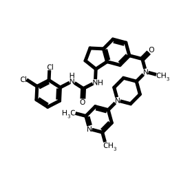 Cc1cc(N2CCC(N(C)C(=O)c3ccc4c(c3)C(NC(=O)Nc3cccc(Cl)c3Cl)CC4)CC2)cc(C)n1